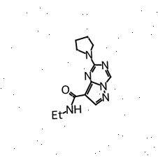 CCNC(=O)c1cnn2cnc(N3CCCC3)nc12